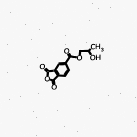 CC(O)COC(=O)c1ccc2c(c1)C(=O)OC2=O